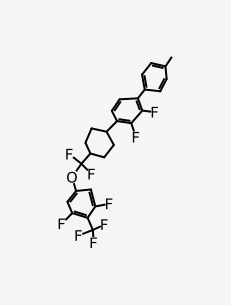 Cc1ccc(-c2ccc(C3CCC(C(F)(F)Oc4cc(F)c(C(F)(F)F)c(F)c4)CC3)c(F)c2F)cc1